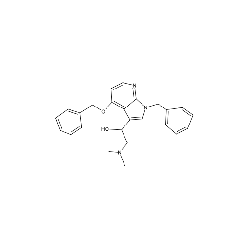 CN(C)CC(O)c1cn(Cc2ccccc2)c2nccc(OCc3ccccc3)c12